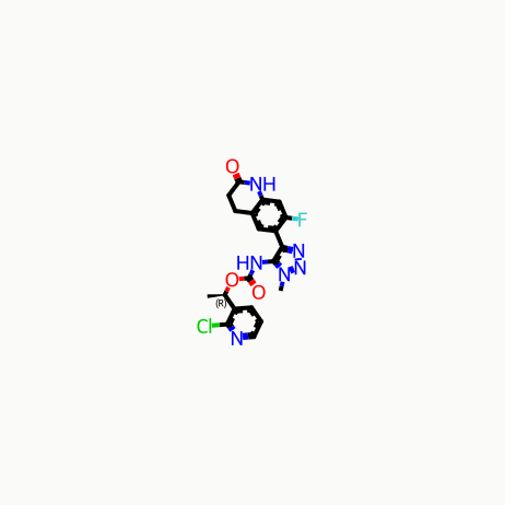 C[C@@H](OC(=O)Nc1c(-c2cc3c(cc2F)NC(=O)CC3)nnn1C)c1cccnc1Cl